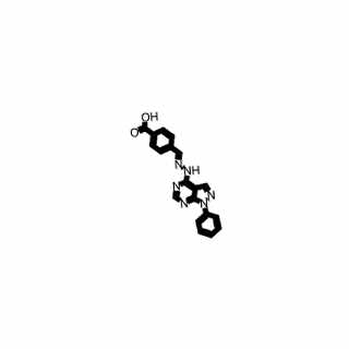 O=C(O)c1ccc(C=NNc2ncnc3c2cnn3-c2ccccc2)cc1